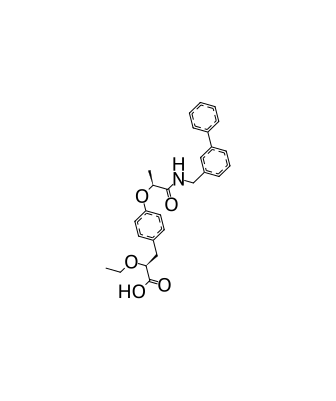 CCO[C@@H](Cc1ccc(O[C@@H](C)C(=O)NCc2cccc(-c3ccccc3)c2)cc1)C(=O)O